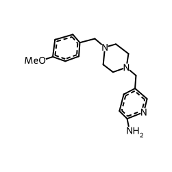 COc1ccc(CN2CCN(Cc3ccc(N)nc3)CC2)cc1